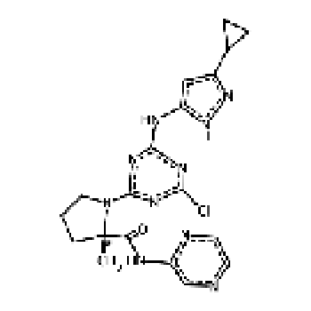 C[C@@]1(C(=O)Nc2cnccn2)CCCN1c1nc(Cl)nc(Nc2cc(C3CC3)n[nH]2)n1